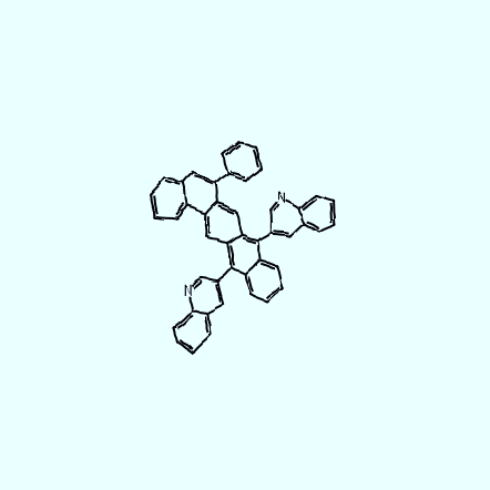 c1ccc(-c2cc3ccccc3c3cc4c(-c5cnc6ccccc6c5)c5ccccc5c(-c5cnc6ccccc6c5)c4cc23)cc1